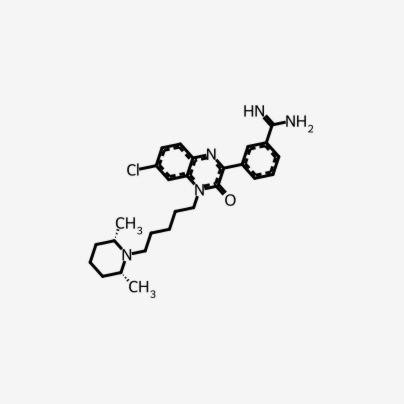 C[C@@H]1CCC[C@H](C)N1CCCCCn1c(=O)c(-c2cccc(C(=N)N)c2)nc2ccc(Cl)cc21